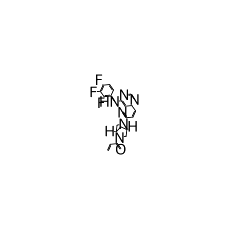 C=CC(=O)N1C[C@@H]2C[C@H]1CN2c1ccc2ncnc(Nc3ccc(F)c(F)c3F)c2n1